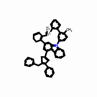 CCC1=C(c2cc(C3=CC(c4ccccc4)=C(Cc4ccccc4)C3)c3c4ccccc4n(-c4ccc(C)c(-c5ccccc5C)c4)c3c2)CCC=C1